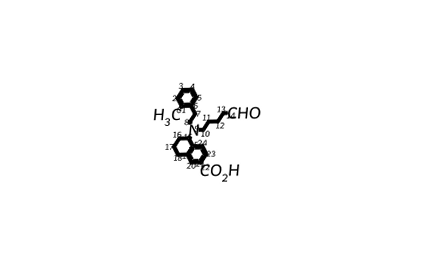 Cc1ccccc1CCN(CCCCC=O)C1CCCc2cc(C(=O)O)ccc21